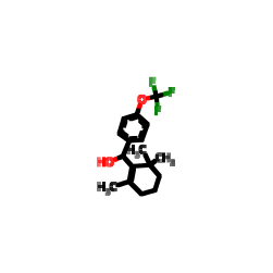 CC1=C(C(O)c2ccc(OC(F)(F)F)cc2)C(C)(C)CCC1